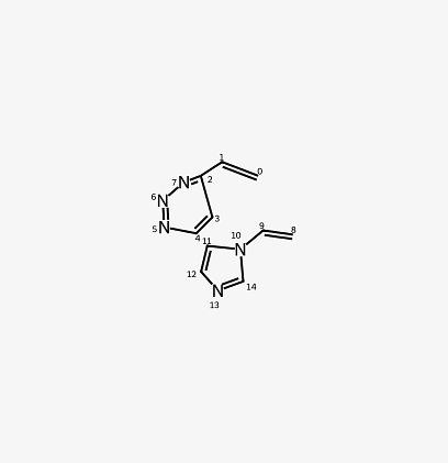 C=Cc1ccnnn1.C=Cn1ccnc1